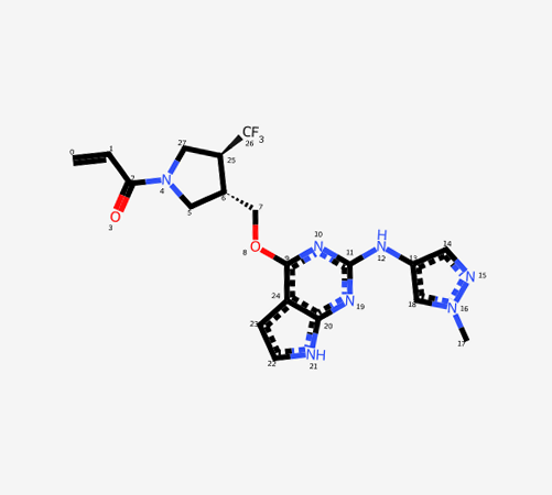 C=CC(=O)N1C[C@@H](COc2nc(Nc3cnn(C)c3)nc3[nH]ccc23)[C@H](C(F)(F)F)C1